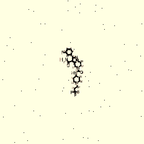 NC(=O)c1c(-c2cccc(F)c2)nn2c1CN(C(=O)NC1CCN(CCC(F)(F)F)CC1)CC2